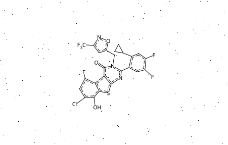 O=c1c2c(nc(-c3cc(F)c(F)cc3C3CC3)n1Cc1cc(C(F)(F)F)no1)sc1c(O)c(Cl)cc(F)c12